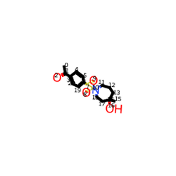 CC(=O)c1ccc(S(=O)(=O)N2CCCC(C)(O)CC2)cc1